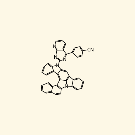 N#Cc1ccc(-c2nc(-n3c4ccccc4c4c5c6c7ccccc7ccc6n6c7ccccc7c(cc43)c56)nc3ncccc23)cc1